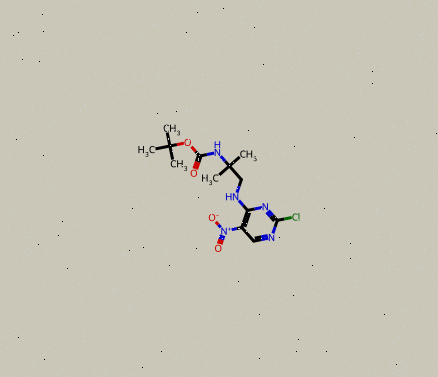 CC(C)(CNc1nc(Cl)ncc1[N+](=O)[O-])NC(=O)OC(C)(C)C